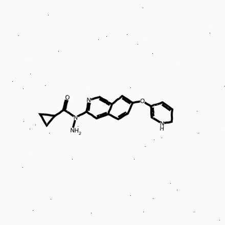 NN(C(=O)C1CC1)c1cc2ccc(OC3=CNCC=C3)cc2cn1